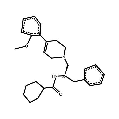 COc1ccccc1C1=CCN(C[C@@H](Cc2ccccc2)NC(=O)C2CCCCC2)CC1